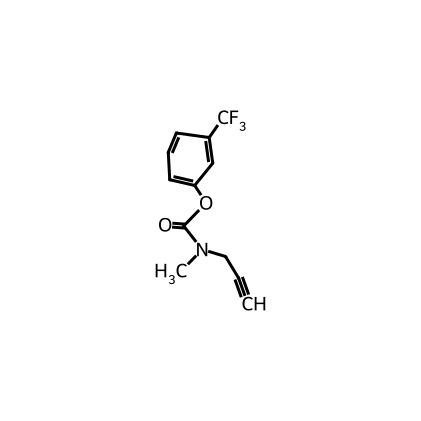 C#CCN(C)C(=O)Oc1cccc(C(F)(F)F)c1